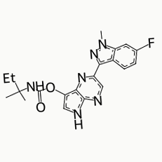 CCC(C)(C)NC(=O)Oc1c[nH]c2ncc(-c3nn(C)c4cc(F)ccc34)nc12